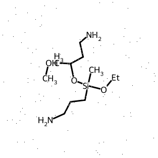 CCO[Si](C)(CCCN)OC(C)CCN.CO